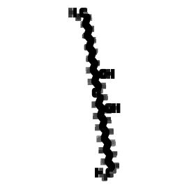 CCCCCCCCCCCC(O)CCOCCC(O)CCCCCCCCCCC